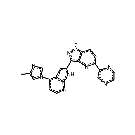 Cc1cn(-c2ccnc3[nH]c(-c4n[nH]c5ccc(-c6cnccn6)nc45)cc23)cn1